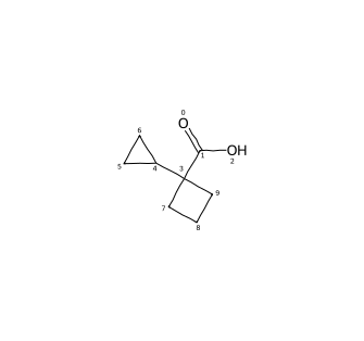 O=C(O)C1(C2CC2)CCC1